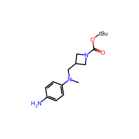 CN(CC1CN(C(=O)OC(C)(C)C)C1)c1ccc(N)cc1